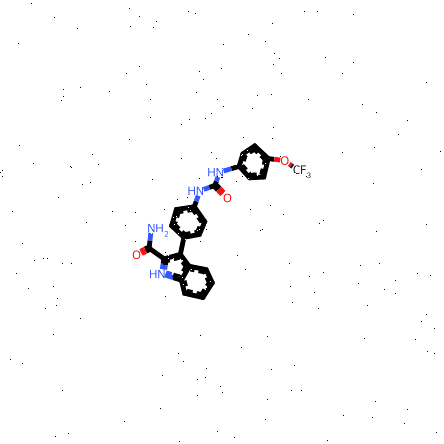 NC(=O)c1[nH]c2ccccc2c1-c1ccc(NC(=O)Nc2ccc(OC(F)(F)F)cc2)cc1